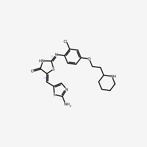 Nc1ncc(/C=C2\S/C(=N\c3ccc(OCCC4CCCCN4)cc3Cl)NC2=O)s1